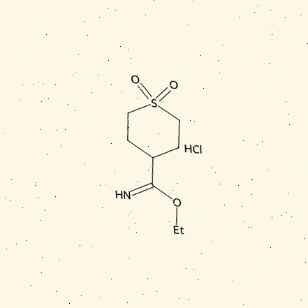 CCOC(=N)C1CCS(=O)(=O)CC1.Cl